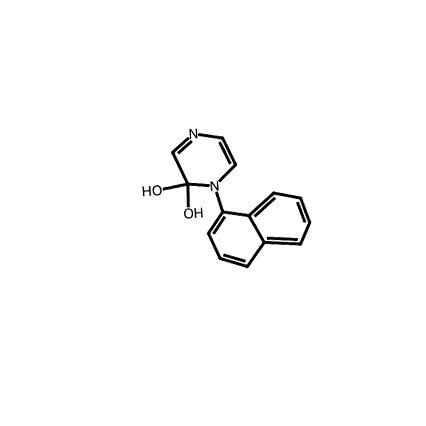 OC1(O)C=NC=CN1c1cccc2ccccc12